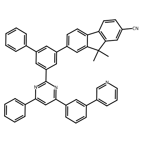 CC1(C)c2cc(C#N)ccc2-c2ccc(-c3cc(-c4ccccc4)cc(-c4nc(-c5ccccc5)cc(-c5cccc(-c6cccnc6)c5)n4)c3)cc21